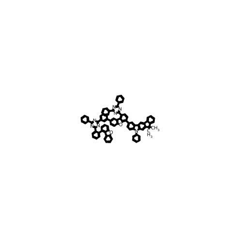 CC1(C)c2ccccc2-c2cc3c4cc(-c5ccc(-c6nc(-c7ccccc7)nc(-c7ccccc7)n6)c6c5oc5ccc(-c7cccc(-c8nc(-c9ccccc9)nc(-c9ccccc9-c9cccc%10oc%11ccccc%11c9%10)n8)c7)cc56)ccc4n(-c4ccccc4)c3cc21